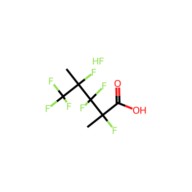 CC(F)(C(=O)O)C(F)(F)C(C)(F)C(F)(F)F.F